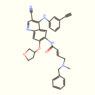 C#Cc1cccc(Nc2c(C#N)cnc3cc(OC4CCOC4)c(NC(=O)/C=C/CN(C)Cc4ccccc4)cc23)c1